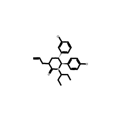 C=CCC1C[C@H](c2cccc(Cl)c2)[C@@H](c2ccc(Cl)cc2)N(C(CC)CC)C1=O